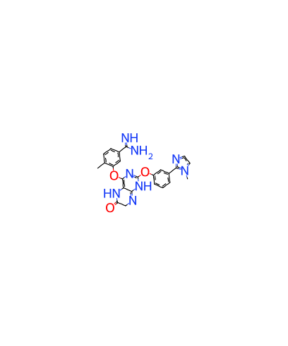 Cc1ccc(C(=N)N)cc1OC1=C2NC(=O)CN=C2NC(Oc2cccc(-c3nccn3C)c2)=N1